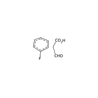 Fc1ccccc1.O=CCC(=O)O